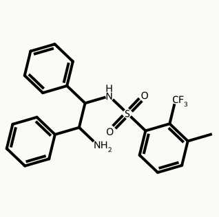 Cc1cccc(S(=O)(=O)NC(c2ccccc2)C(N)c2ccccc2)c1C(F)(F)F